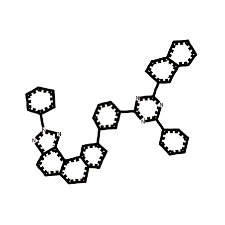 c1ccc(-c2nc(-c3cccc(-c4ccc5ccc6ccc7nn(-c8ccccc8)nc7c6c5c4)c3)nc(-c3ccc4ccccc4c3)n2)cc1